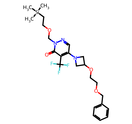 C[Si](C)(C)CCOCn1ncc(N2CC(OCCOCc3ccccc3)C2)c(C(F)(F)F)c1=O